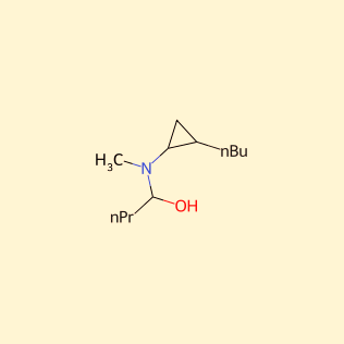 CCCCC1CC1N(C)C(O)CCC